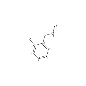 CO[CH]c1ccccc1C